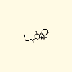 C#C/C=C\C=C(/C)C1=Cc2[nH]c3c(c2C(C)C1)CC=CC=C3